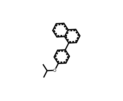 CC(C)Oc1ccc(-c2cccc3ccccc23)cc1